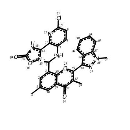 Cc1cc(C(C)Nc2ccc(Cl)nc2-c2noc(=O)[nH]2)c2oc(-c3nn(C)c4ccccc34)c(C)c(=O)c2c1